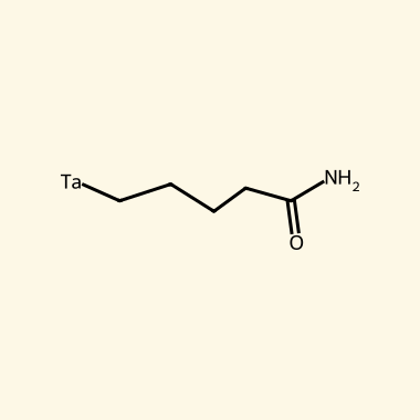 NC(=O)CCC[CH2][Ta]